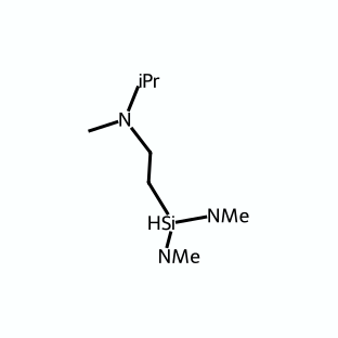 CN[SiH](CCN(C)C(C)C)NC